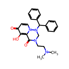 CN(C)CCN1CN(C(c2ccccc2)c2ccccc2)n2ccc(=O)c(O)c2C1=O